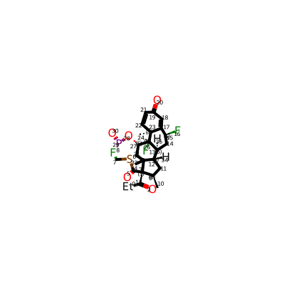 CCC(=O)[C@]1(C(=O)SCF)[C@H](C)C[C@H]2[C@@H]3C[C@H](F)C4=CC(=O)C=C[C@]4(C)[C@@]3(F)[C@@H](OP=O)CC21C